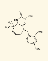 COc1ccc(CN2CC=CC(C)(C)C(NC(=O)OC(C)(C)C)C2=O)c(OC)c1